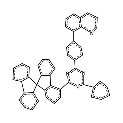 c1ccc(-c2nc(-c3ccc(-c4cccc5cccnc45)cc3)nc(-c3cccc4c3-c3ccccc3C43c4ccccc4-c4ccccc43)n2)cc1